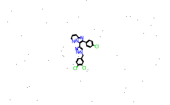 Clc1ccc(-c2nc3cccnn3c2-c2cn(Cc3ccc(Cl)c(Cl)c3)nn2)cc1